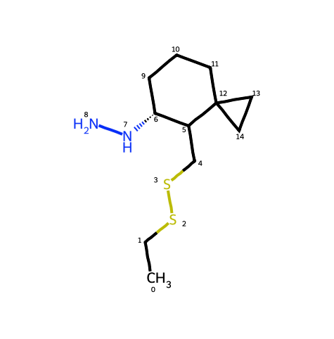 CCSSCC1[C@H](NN)CCCC12CC2